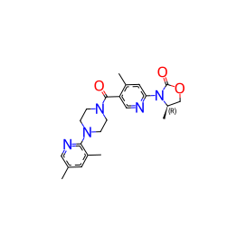 Cc1cnc(N2CCN(C(=O)c3cnc(N4C(=O)OC[C@H]4C)cc3C)CC2)c(C)c1